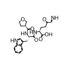 N=CC(=O)CC[C@H](NC(=O)[C@H](Cc1c[nH]c2ccccc12)NC(=O)[C@H]1CCOC1)C(=O)O